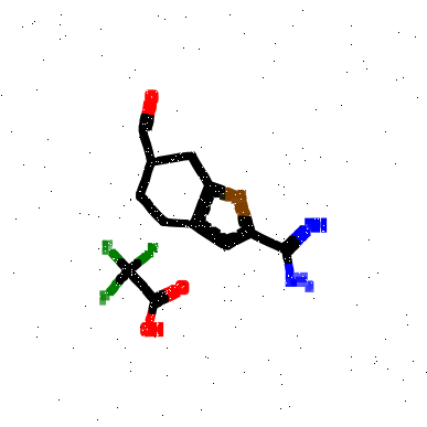 N=C(N)c1cc2c(s1)CC(C=O)CC2.O=C(O)C(F)(F)F